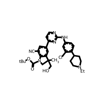 CCN1CCC(c2ccc(Nc3nccc(-c4cc(C#N)c5c(c4)C(C)(CO)CN5C(=O)OC(C)(C)C)n3)cc2Cl)CC1